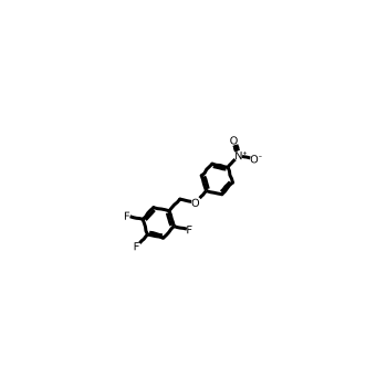 O=[N+]([O-])c1ccc(OCc2cc(F)c(F)cc2F)cc1